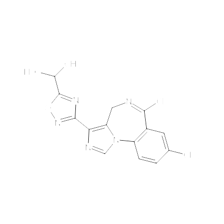 Cc1ccc2c(c1)C(Cl)=NCc1c(-c3noc(C(C)C)n3)ncn1-2